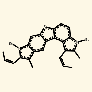 C/C=C\c1c(C)n(CC)c2ccc3sc4cc5c(cc4c3c12)c(C)c(/C=C\C)n5CC